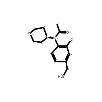 CC(=O)N(c1ccc(CN)cc1Cl)N1CCNCC1